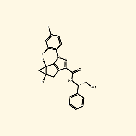 O=C(N[C@H](CO)c1ccccc1)c1nn(-c2ccc(F)cc2F)c2c1C[C@@H]1C[C@H]21